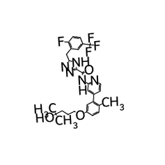 Cc1ccc(OCCCC(C)(C)O)cc1-c1ccnc(NC(=O)c2nnc(Cc3cc(C(F)(F)F)ccc3F)[nH]2)c1